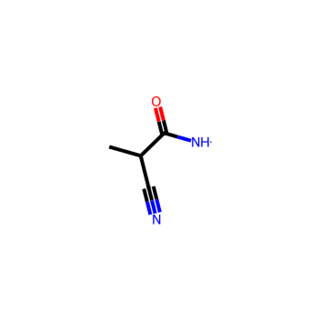 CC(C#N)C([NH])=O